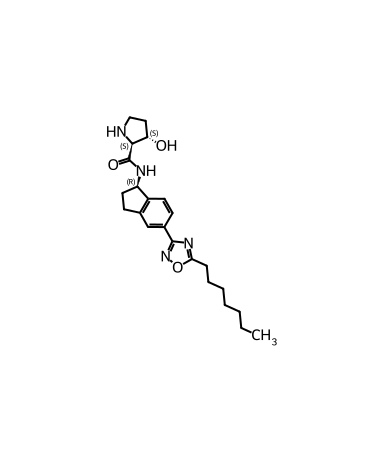 CCCCCCCc1nc(-c2ccc3c(c2)CC[C@H]3NC(=O)[C@H]2NCC[C@@H]2O)no1